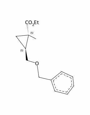 CCOC(=O)[C@@]1(C)C[C@@H]1COCc1ccccc1